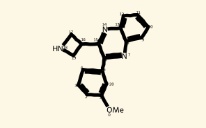 COc1cccc(-c2nc3ccccc3nc2C2CNC2)c1